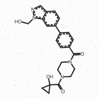 O=C(c1ccc(-c2ccc3cnn(CO)c3c2)cc1)N1CCN(C(=O)C2(O)CC2)CC1